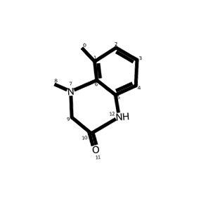 Cc1cccc2c1N(C)CC(=O)N2